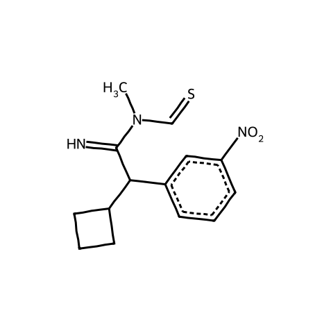 CN(C=S)C(=N)C(c1cccc([N+](=O)[O-])c1)C1CCC1